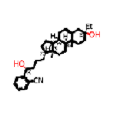 CC[C@]1(O)CC[C@@]2(C)C(=CC[C@H]3[C@@H]4CC[C@H](CCC[C@@H](O)c5ccccc5C#N)[C@@]4(C)CC[C@@H]32)C1